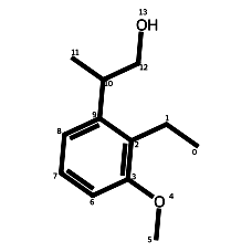 CCc1c(OC)cccc1[C](C)CO